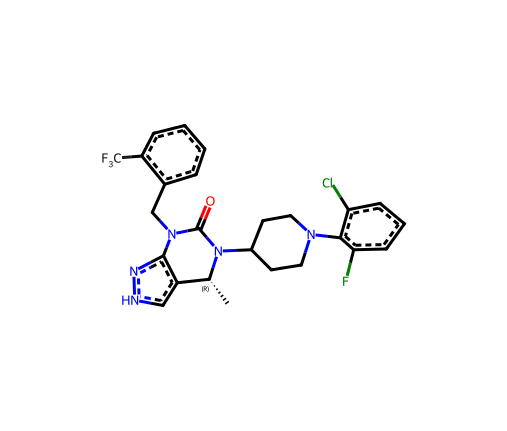 C[C@@H]1c2c[nH]nc2N(Cc2ccccc2C(F)(F)F)C(=O)N1C1CCN(c2c(F)cccc2Cl)CC1